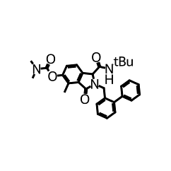 Cc1c(OC(=O)N(C)C)ccc2c1C(=O)N(Cc1ccccc1-c1ccccc1)C2C(=O)NC(C)(C)C